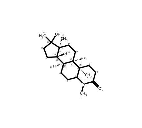 CN1C(=O)CC[C@@]2(C)C1CC[C@@H]1[C@H]2CC[C@@]2(C)[C@H]1CCC2(C)O